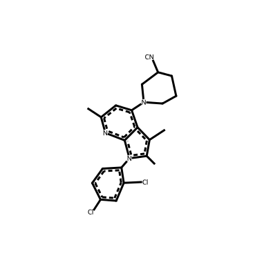 [C-]#[N+]C1CCCN(c2cc(C)nc3c2c(C)c(C)n3-c2ccc(Cl)cc2Cl)C1